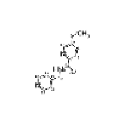 CCc1ccc(C(=O)NCc2ccncc2)nc1